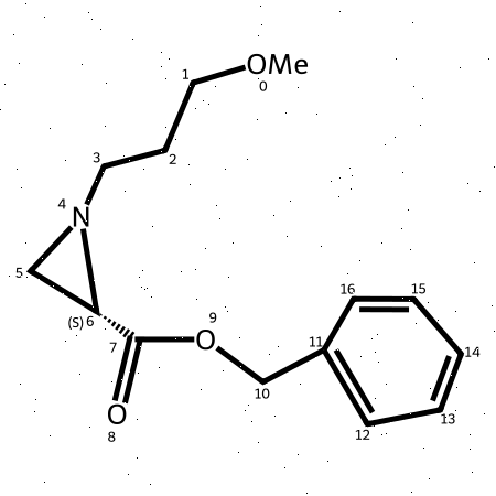 COCCCN1C[C@H]1C(=O)OCc1ccccc1